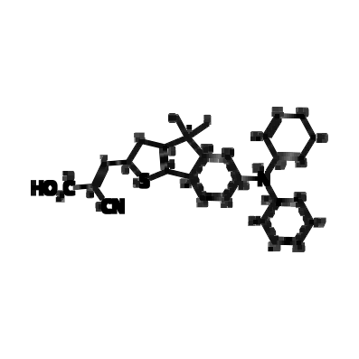 CC1(C)C2=C(SC(/C=C(\C#N)C(=O)O)C2)c2ccc(N(C3=CCCC=C3)c3ccccc3)cc21